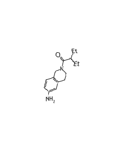 CCC(CC)C(=O)N1CCc2cc(N)ccc2C1